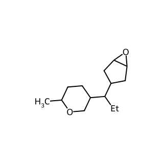 CCC(C1CCC(C)OC1)C1CC2OC2C1